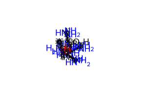 CC[C@H](C)[C@H](NC(=O)[C@H](CCCNC(=N)N)NC(=O)[C@H](CCCNC(=N)N)NC(=O)[C@H](CC(C)C)NC(=O)[C@@H](N)Cc1ccccc1)C(=O)N[C@@H](CCCNC(=N)N)C(=O)O